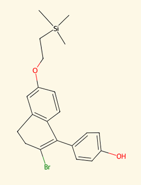 C[Si](C)(C)CCOc1ccc2c(c1)CCC(Br)=C2c1ccc(O)cc1